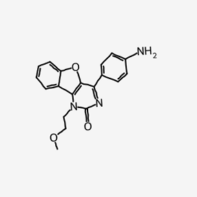 COCCn1c(=O)nc(-c2ccc(N)cc2)c2oc3ccccc3c21